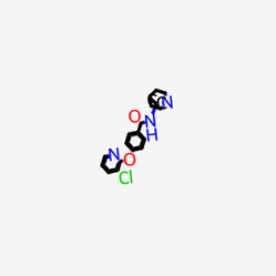 O=C(NC1CC2CCN(CC2)C1)c1ccc(Oc2ncccc2Cl)cc1